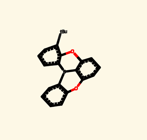 CC(C)(C)c1cccc2c1Oc1cccc3c1B2c1ccccc1O3